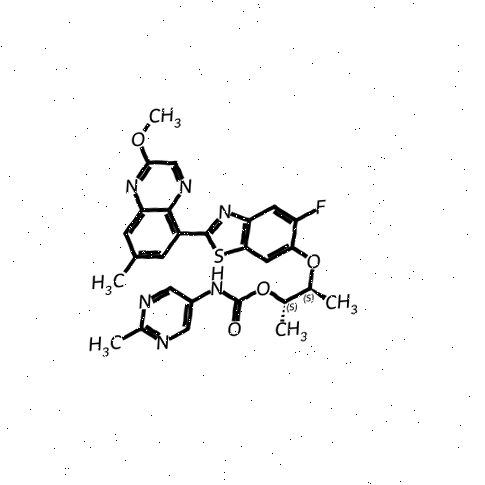 COc1cnc2c(-c3nc4cc(F)c(O[C@@H](C)[C@H](C)OC(=O)Nc5cnc(C)nc5)cc4s3)cc(C)cc2n1